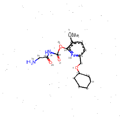 COc1ccc(COC2CCCCC2)nc1OC(=O)NC(=O)CN